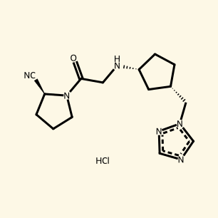 Cl.N#C[C@@H]1CCCN1C(=O)CN[C@@H]1CC[C@H](Cn2cncn2)C1